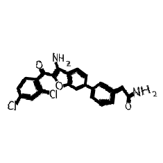 NC(=O)Cc1cccc(-c2ccc3c(N)c(C(=O)c4ccc(Cl)cc4Cl)oc3c2)c1